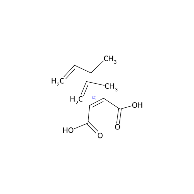 C=CC.C=CCC.O=C(O)/C=C\C(=O)O